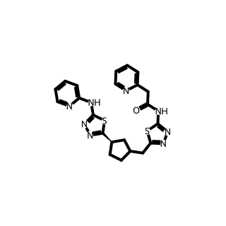 O=C(Cc1ccccn1)Nc1nnc(CC2CC[C@@H](c3nnc(Nc4ccccn4)s3)C2)s1